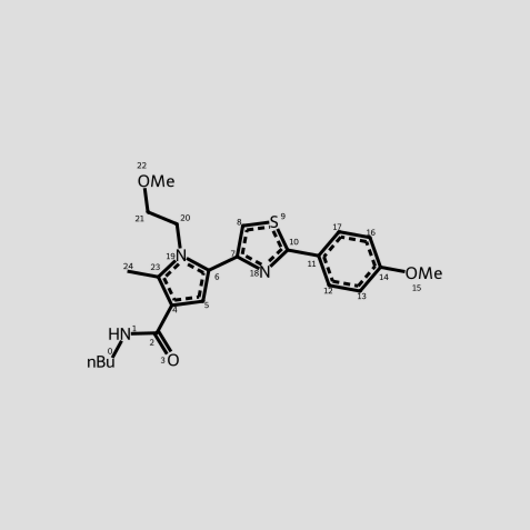 CCCCNC(=O)c1cc(-c2csc(-c3ccc(OC)cc3)n2)n(CCOC)c1C